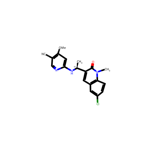 COc1cc(N[C@@H](C)c2cc3cc(Cl)ccc3n(C)c2=O)ncc1C#N